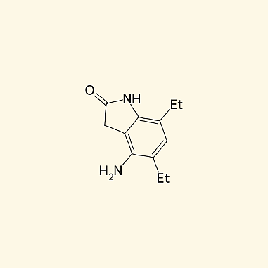 CCc1cc(CC)c2c(c1N)CC(=O)N2